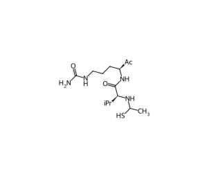 CC(=O)[C@H](CCCNC(N)=O)NC(=O)[C@@H](NC(C)S)C(C)C